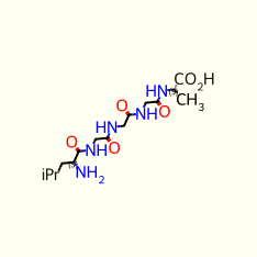 CC(C)C[C@H](N)C(=O)NCC(=O)NCC(=O)NCC(=O)N[C@@H](C)C(=O)O